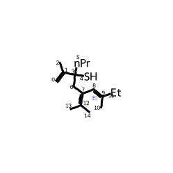 C=C(C)C(S)(CCC)CC(/C=C(\C)CC)=C(C)C